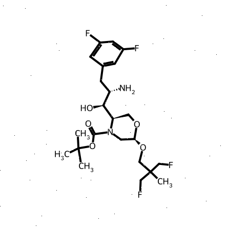 CC(CF)(CF)CO[C@H]1CN(C(=O)OC(C)(C)C)[C@@H]([C@@H](O)[C@@H](N)Cc2cc(F)cc(F)c2)CO1